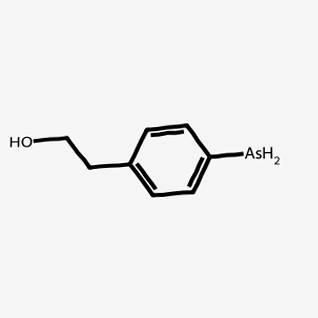 OCCc1ccc([AsH2])cc1